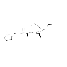 O=C(O)CON1C(=O)N2CC1CCC2C(=O)NOC[C@H]1CCCN1